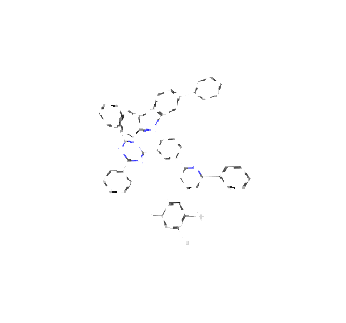 Bc1c(B)c(B)c(-c2cc(-c3ccccc3)nc(-c3ccc(-n4c5ccccc5c5ccc(-c6ccccc6)cc54)c(-c4nc(-c5ccccc5)nc(-c5ccccc5)n4)c3)c2)c(B)c1B